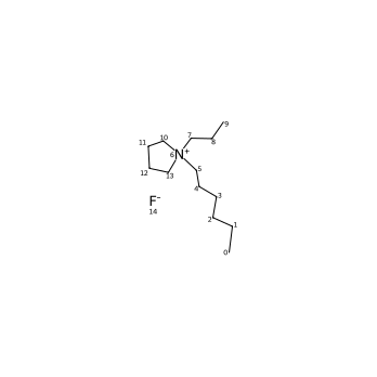 CCCCCC[N+]1(CCC)CCCC1.[F-]